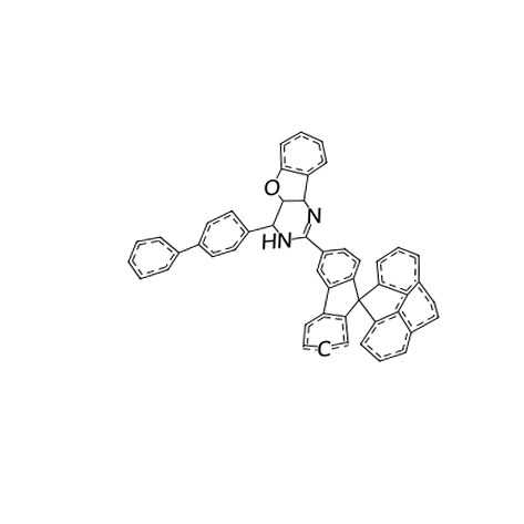 c1ccc(-c2ccc(C3NC(c4ccc5c(c4)-c4ccccc4C54c5cccc6ccc7cccc4c7c56)=NC4c5ccccc5OC43)cc2)cc1